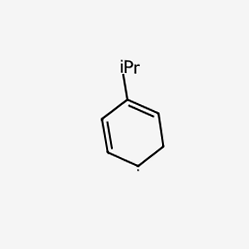 CC(C)C1=CC[CH]C=C1